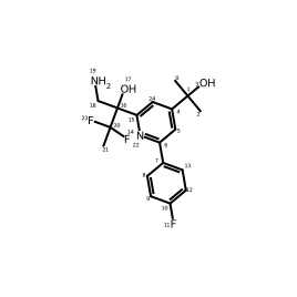 CC(C)(O)c1cc(-c2ccc(F)cc2)nc(C(O)(CN)C(C)(F)F)c1